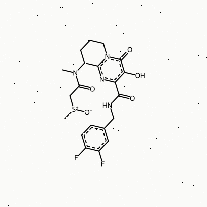 CN(C(=O)C[S+](C)[O-])C1CCCn2c1nc(C(=O)NCc1ccc(F)c(F)c1)c(O)c2=O